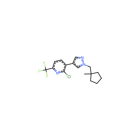 CC1(Cn2cc(-c3ccc(C(F)(F)F)nc3Cl)cn2)CCCC1